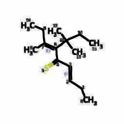 CC/C=C/C(=S)/C(=C(\C)CC)C(C)(C)CC